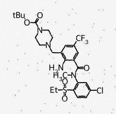 CCS(=O)(=O)c1ccc(Cl)cc1N(C)C(=O)c1cc(C(F)(F)F)cc(CN2CCN(C(=O)OC(C)(C)C)CC2)c1N